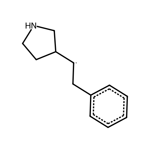 [CH](Cc1ccccc1)C1CCNC1